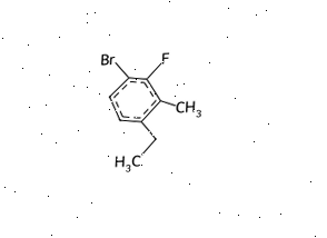 CCc1ccc(Br)c(F)c1C